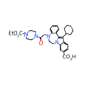 CCOC(=O)N1CCN(C(=O)CN2CCn3c(c(C4CCCCC4)c4ccc(C(=O)O)cc43)-c3ccccc32)CC1